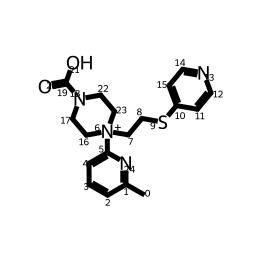 Cc1cccc([N+]2(CCSc3ccncc3)CCN(C(=O)O)CC2)n1